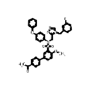 COc1ccc(-c2ccc(C(C)=O)cc2)cc1S(=O)(=O)N(Cc1nncn1Cc1cccc(F)c1)c1ccc(Oc2ccccc2)cc1